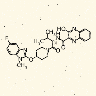 CC(C)[C@H](NC(=O)c1nc2ccccc2nc1O)C(=O)N1CCC(Oc2nc3cc(F)ccc3n2C)CC1